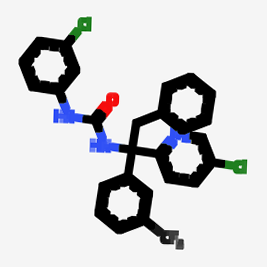 O=C(Nc1cccc(Cl)c1)NC(Cc1ccccc1)(c1cccc(C(F)(F)F)c1)c1ccc(Cl)cn1